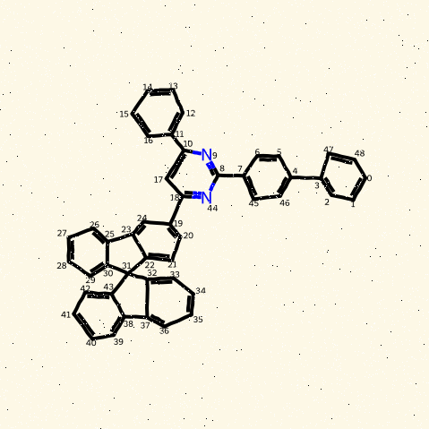 c1ccc(-c2ccc(-c3nc(-c4ccccc4)cc(-c4ccc5c(c4)-c4ccccc4C54c5ccccc5-c5ccccc54)n3)cc2)cc1